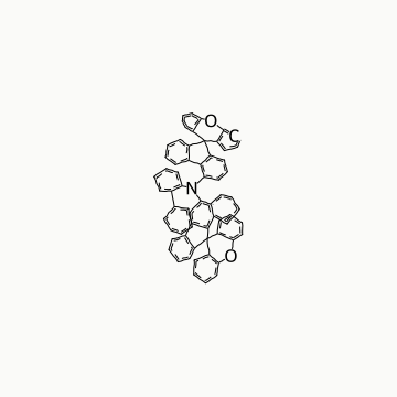 c1ccc(-c2ccccc2N(c2cccc3c2-c2ccccc2C32c3ccccc3Oc3ccccc32)c2cc3c(c4ccccc24)C2(c4ccccc4Oc4ccccc42)c2ccccc2-3)cc1